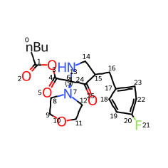 CCCCC(=O)OC(=O)[C@]1(N2CCOCC2)NCC(Cc2ccc(F)cc2)C1=O